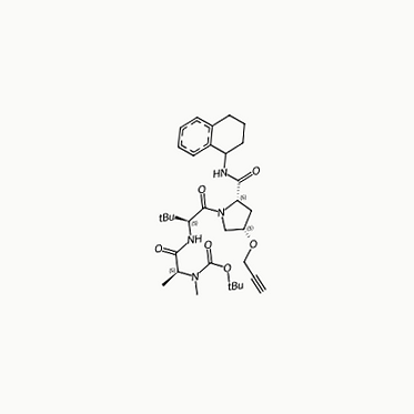 C#CCO[C@H]1C[C@@H](C(=O)NC2CCCc3ccccc32)N(C(=O)[C@@H](NC(=O)[C@H](C)N(C)C(=O)OC(C)(C)C)C(C)(C)C)C1